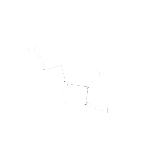 C=CCN1CCC(=C)C1=O